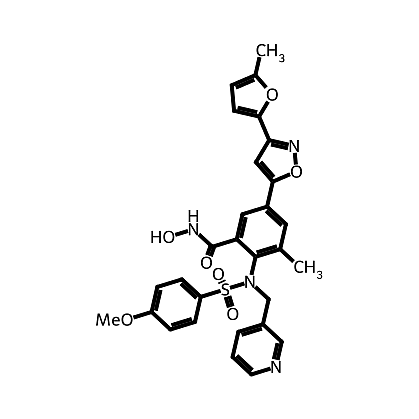 COc1ccc(S(=O)(=O)N(Cc2cccnc2)c2c(C)cc(-c3cc(-c4ccc(C)o4)no3)cc2C(=O)NO)cc1